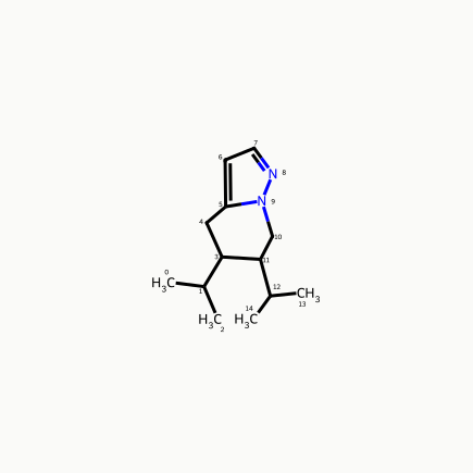 CC(C)C1Cc2ccnn2CC1C(C)C